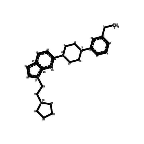 CCc1cccc(N2CCN(c3ccc4ccn(CCN5CCCC5)c4n3)CC2)c1